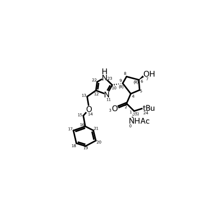 CC(=O)N[C@H](C(=O)C1C[C@H](O)C[C@H]1c1nc(COCc2ccccc2)c[nH]1)C(C)(C)C